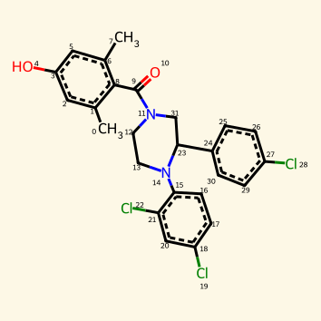 Cc1cc(O)cc(C)c1C(=O)N1CCN(c2ccc(Cl)cc2Cl)C(c2ccc(Cl)cc2)C1